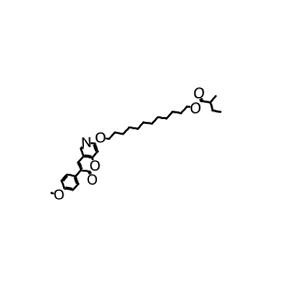 CCC(C)C(=O)OCCCCCCCCCCCCOc1cc2oc(=O)c(-c3ccc(OC)cc3)cc2cn1